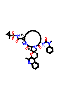 Cc1nc2ccccc2c2c1O[C@]1(CC2)C[C@H]2C(=O)N[C@@]3(I)C(C(=O)NS(=O)(=O)C4(C)CC4)[C@H]3/C=C\CCCCC[C@H](NC(=O)N(C)c3ccccc3)C(=O)N2C1